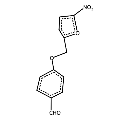 O=Cc1ccc(OCc2ccc([N+](=O)[O-])o2)cc1